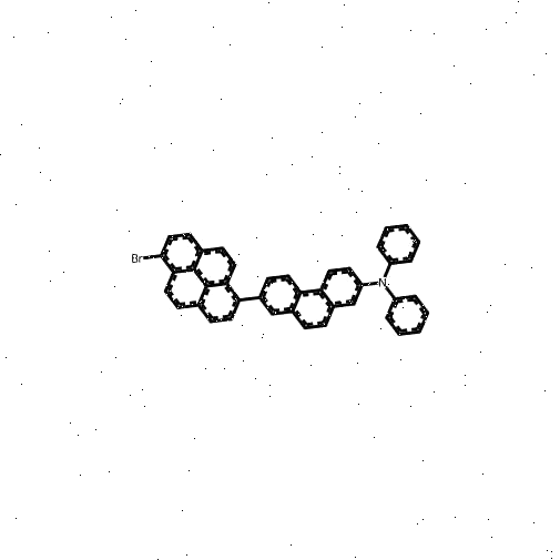 Brc1ccc2ccc3c(-c4ccc5c(ccc6cc(N(c7ccccc7)c7ccccc7)ccc65)c4)ccc4ccc1c2c43